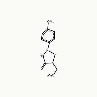 COCC1CN(c2ccc(OC)cc2)NC1=O